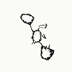 Clc1nc(-c2ccccn2)ncc1-c1ccccc1